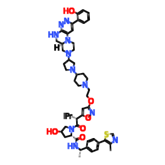 Cc1ncsc1-c1ccc([C@H](C)NC(=O)[C@@H]2C[C@@H](O)CN2C(=O)[C@@H](c2cc(OCCN3CCC(N4CC[C@@H](N5CCN6c7cc(-c8ccccc8O)nnc7NC[C@@H]6C5)C4)CC3)no2)C(C)C)cc1